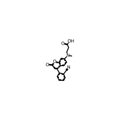 CN(CCC(=O)O)c1ccc2c(-c3ccccc3C#N)cc(=O)oc2c1